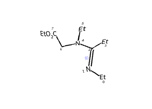 CC/N=C(\CC)N(CC)CC(=O)OCC